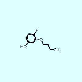 CCCCOc1cc(O)ccc1F